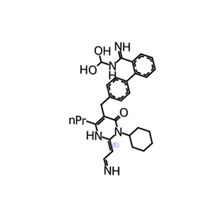 CCCC1=C(Cc2ccc(-c3ccccc3C(=N)NC(O)O)cc2)C(=O)N(C2CCCCC2)/C(=C/C=N)N1